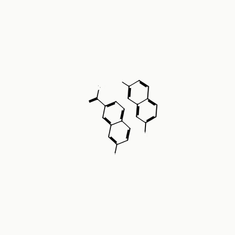 NC(=O)c1ccc2ccc(Cl)cc2c1.O=C(O)c1ccc2ccc(Cl)cc2c1